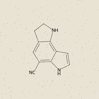 N#Cc1cc2c(c3cc[nH]c13)NCC2